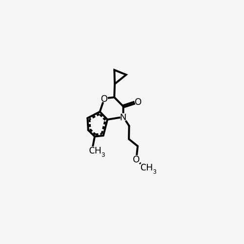 COCCCN1C(=O)C(C2CC2)Oc2ccc(C)cc21